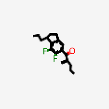 C=C(CCC)C(=O)c1cc2c(c(F)c1F)C(CCC)CC2